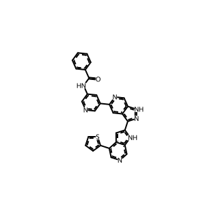 O=C(Nc1cncc(-c2cc3c(-c4cc5c(-c6cccs6)cncc5[nH]4)n[nH]c3cn2)c1)c1ccccc1